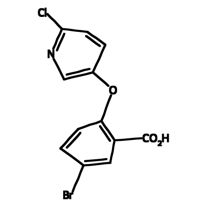 O=C(O)c1cc(Br)ccc1Oc1ccc(Cl)nc1